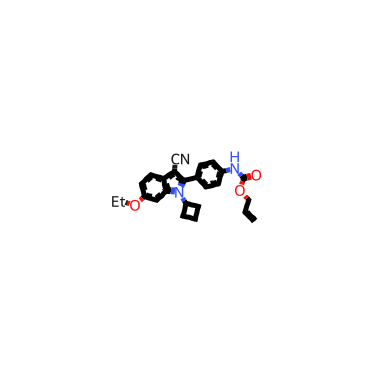 C=CCOC(=O)Nc1ccc(-c2c(C#N)c3ccc(OCC)cc3n2C2CCC2)cc1